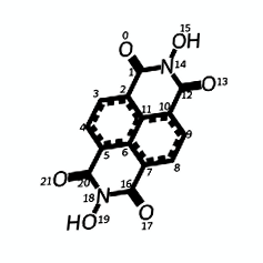 O=C1c2ccc3c4c(ccc(c24)C(=O)N1O)C(=O)N(O)C3=O